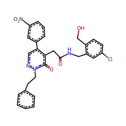 O=C(Cc1c(-c2cccc([N+](=O)[O-])c2)cnn(CCc2ccccc2)c1=O)NCc1cc(Cl)ccc1CO